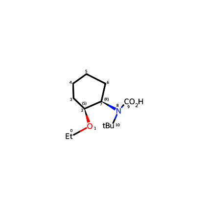 CCO[C@H]1CCCC[C@H]1N(C(=O)O)C(C)(C)C